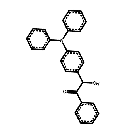 O=C(c1ccccc1)C(O)c1ccc(N(c2ccccc2)c2ccccc2)cc1